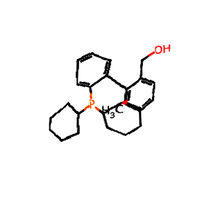 Cc1cccc(CO)c1-c1ccccc1P(C1CCCCC1)C1CCCCC1